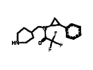 O=C(N(CC1CCNCC1)C1CC1c1ccccc1)C(F)(F)F